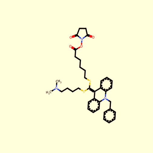 CN(C)CCCCSC(SCCCCCC(=O)ON1C(=O)CCC1=O)=C1c2ccccc2N(Cc2ccccc2)c2ccccc21